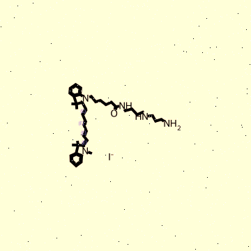 CN1/C(=C/C=C/C=C/C=C/C2=[N+](CCCCCC(=O)NCCCCNCCCN)c3ccccc3C2(C)C)C(C)(C)c2ccccc21.[I-]